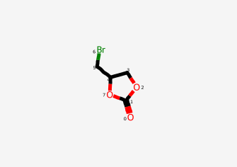 O=C1OCC(CBr)O1